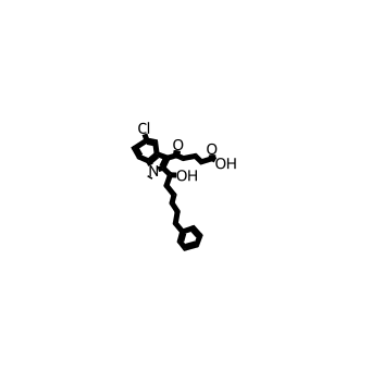 Cn1c(C(O)CCCCCc2ccccc2)c(C(=O)CCCC(=O)O)c2cc(Cl)ccc21